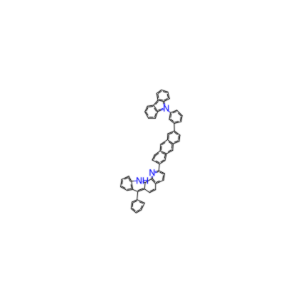 C1=Cc2ccc(-c3ccc4cc5cc(-c6cccc(-n7c8ccccc8c8ccccc87)c6)ccc5cc4c3)nc2C2Nc3ccccc3C(c3ccccc3)=C12